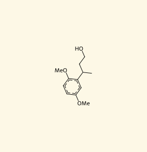 COc1ccc(OC)c(C(C)CCO)c1